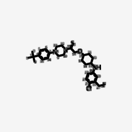 CC(C)(C)c1ccc(N2CCN(C(=S)COC3CCC(Nc4ccc(Cl)c(CF)c4)CC3)CC2)cc1